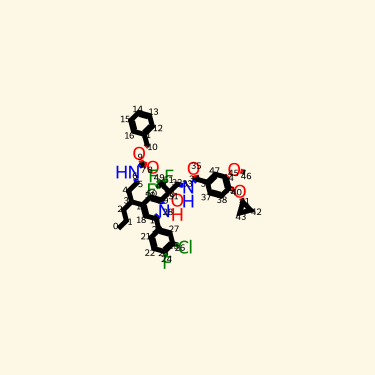 CCCC(CCNC(=O)OCc1ccccc1)c1cc(-c2ccc(F)c(Cl)c2)nc(C(O)(CNC(=O)c2ccc(OC3CC3)c(OC)c2)C(F)(F)F)c1